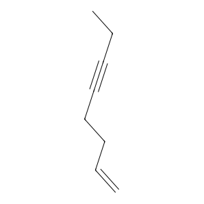 C=CCCC#CCC